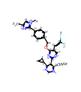 COc1ncnc(C2CC2)c1-c1ncc(C=C(F)F)c(OCc2ccc(-c3nc(C(F)(F)F)cn3C)cc2)n1